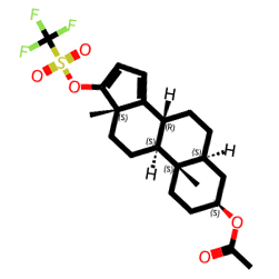 CC(=O)O[C@H]1CC[C@@]2(C)[C@@H](CC[C@H]3C4=CC=C(OS(=O)(=O)C(F)(F)F)[C@@]4(C)CC[C@@H]32)C1